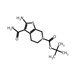 CC(C)(C)OC(=O)N1CCc2c(sc(N)c2C(N)=O)C1